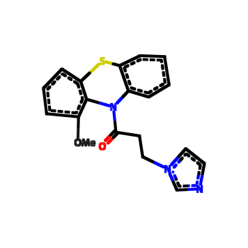 COc1cccc2c1N(C(=O)CCn1ccnc1)c1ccccc1S2